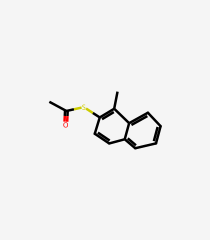 CC(=O)Sc1ccc2ccccc2c1C